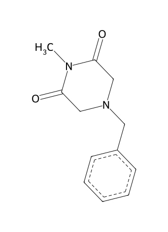 CN1C(=O)CN(Cc2ccccc2)CC1=O